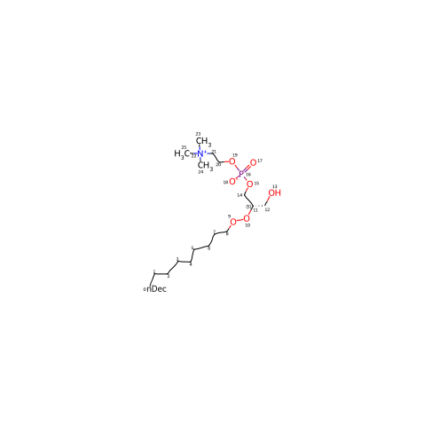 CCCCCCCCCCCCCCCCCCOO[C@@H](CO)COP(=O)([O-])OCC[N+](C)(C)C